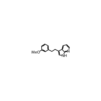 COc1cccc(CCc2c[nH]c3ncccc23)c1